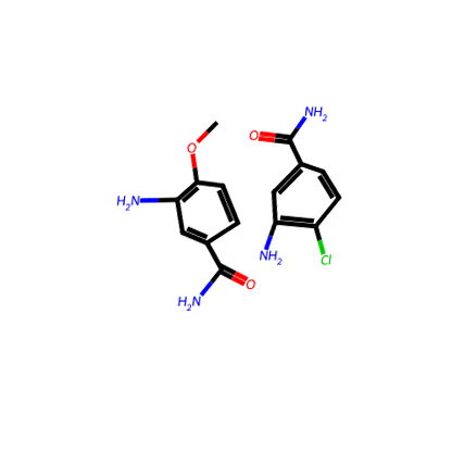 COc1ccc(C(N)=O)cc1N.NC(=O)c1ccc(Cl)c(N)c1